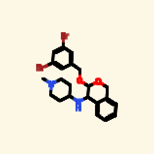 CN1CCC(NC2c3ccccc3COC2OCc2cc(Br)cc(Br)c2)CC1